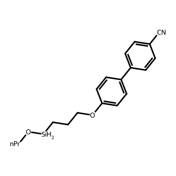 CCCO[SiH2]CCCOc1ccc(-c2ccc(C#N)cc2)cc1